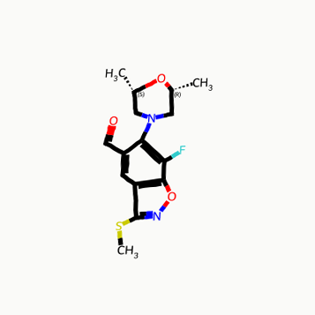 CSc1noc2c(F)c(N3C[C@@H](C)O[C@@H](C)C3)c(C=O)cc12